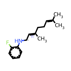 CC(C)=CCC/C(C)=C/[CH]Nc1ccccc1F